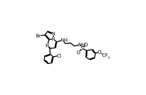 O=S(=O)(NCCCNc1cc(-c2ccccc2Cl)nc2c(Br)cnn12)c1cccc(OC(F)(F)F)c1